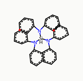 c1ccc(N(c2ccccc2)[SiH](N(c2ccccc2)c2ccccc2)N(c2ccccc2)c2ccccc2)cc1